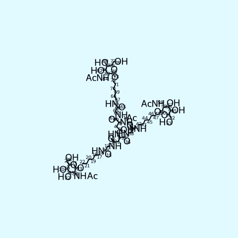 CC(=O)CNC(C[C@H](O)NC(CC(=O)NCC(=O)NCCCCCCO[C@@H]1OC(CO)[C@H](O)[C@H](O)C1NC(C)=O)C(=O)NCC(=O)NCCCCCCO[C@@H]1OC(CO)[C@H](O)[C@H](O)C1NC(C)=O)C(=O)NCC(=O)NCCCCCCO[C@@H]1OC(CO)[C@H](O)[C@H](O)C1NC(C)=O